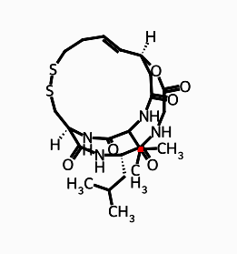 CC(C)C[C@@H]1NC(=O)[C@H]2CSSCC/C=C/[C@H](CC(=O)NC(C(C)C)C(=O)N2)OC(=O)CNC1=O